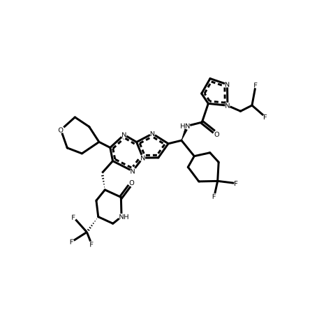 O=C(N[C@H](c1cn2nc(C[C@H]3C[C@@H](C(F)(F)F)CNC3=O)c(C3CCOCC3)nc2n1)C1CCC(F)(F)CC1)c1ccnn1CC(F)F